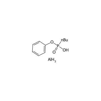 CCCCP(=O)(O)Oc1ccccc1.[AlH3]